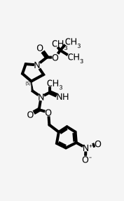 CC(=N)N(C[C@H]1CCN(C(=O)OC(C)(C)C)C1)C(=O)OCc1ccc([N+](=O)[O-])cc1